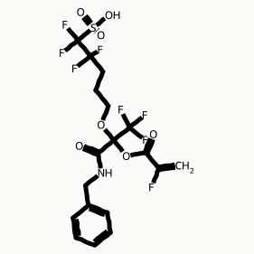 C=C(F)C(=O)OC(OCCCC(F)(F)C(F)(F)S(=O)(=O)O)(C(=O)NCc1ccccc1)C(F)(F)F